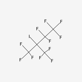 FC(F)(F)C(F)(F)C(I)(C(F)(F)F)C(F)(F)F